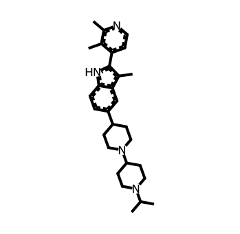 Cc1nccc(-c2[nH]c3ccc(C4CCN(C5CCN(C(C)C)CC5)CC4)cc3c2C)c1C